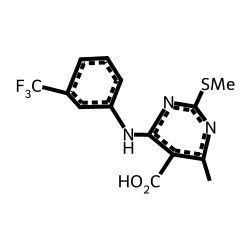 CSc1nc(C)c(C(=O)O)c(Nc2cccc(C(F)(F)F)c2)n1